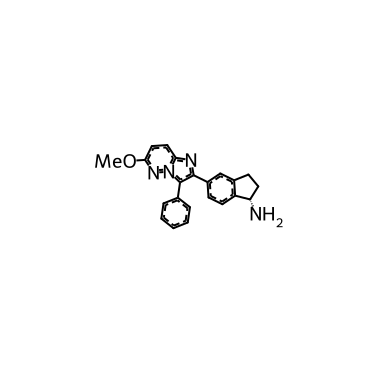 COc1ccc2nc(-c3ccc4c(c3)CC[C@@H]4N)c(-c3ccccc3)n2n1